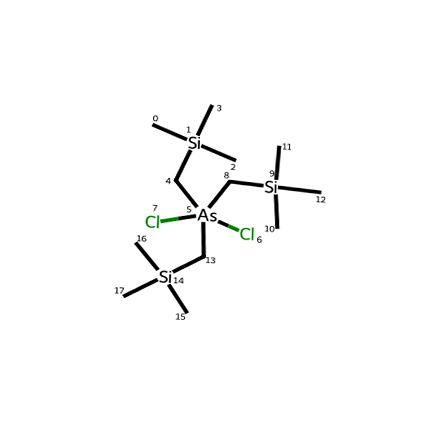 C[Si](C)(C)C[As](Cl)(Cl)(C[Si](C)(C)C)C[Si](C)(C)C